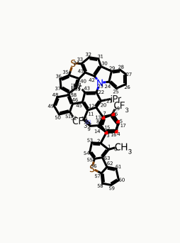 Cc1c(-c2ccccc2/C=C\c2c(-c3ccccc3C(F)(F)F)c(C(C)C)c(-n3c4ccccc4c4ccc5sc6ccccc6c5c43)c(C(C)C)c2-c2ccccc2C(F)(F)F)ccc2sc3ccccc3c12